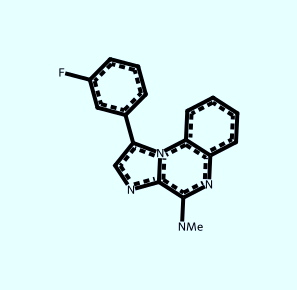 CNc1nc2ccccc2n2c(-c3cccc(F)c3)cnc12